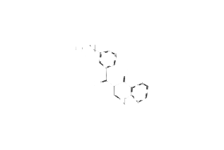 O=C(c1cccc([N+](=O)[O-])c1)C1C=Nc2ccccc2C1=O